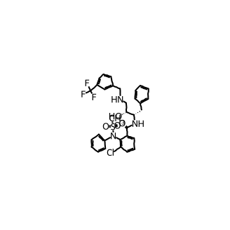 CS(=O)(=O)N(c1ccccc1)c1c(Cl)cccc1C(=O)N[C@@H](Cc1ccccc1)[C@H](O)CNCc1cccc(C(F)(F)F)c1